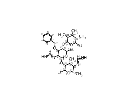 CCC1O[C@@H](O[C@@H]2C(CC)O[C@@H](C)C(N=[PH]=N)[C@H]2C)C(N=[PH]=N)C(OCc2ccccc2)[C@@H]1O[C@@H]1OC(CC)[C@@H](C)[C@H](C)C1C